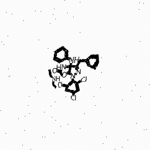 CC(=O)NC1(Nc2ccccc2)C(=O)N(c2c(Cl)cc(Cl)cc2Cl)N=C1Cc1ccccc1.CCNCC